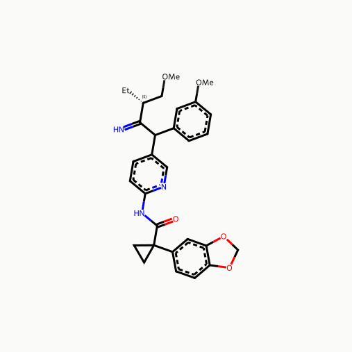 CC[C@H](COC)C(=N)C(c1ccc(NC(=O)C2(c3ccc4c(c3)OCO4)CC2)nc1)c1cccc(OC)c1